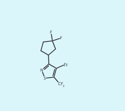 CCc1c(C2CCC(F)(F)C2)nsc1C(F)(F)F